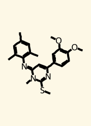 COc1ccc(-c2cc(=Nc3c(C)cc(C)cc3C)n(C)c(SC)n2)cc1OC